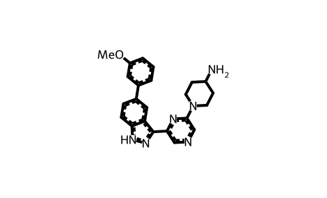 COc1cccc(-c2ccc3[nH]nc(-c4cncc(N5CCC(N)CC5)n4)c3c2)c1